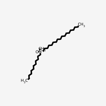 CCCCCCCCCCCCCCCCCC[N+](C)([O-])CCCCCCCCCCCC